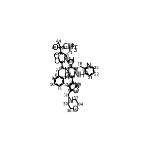 CC(C)C[C@H](NC(=O)[C@H](Cc1ccccc1)NC(=O)[C@H](Cc1ccccn1)NC(=O)c1cc(CN2CCOCC2)on1)C(=O)C1(C)CO1